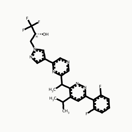 CC(C)c1cc(-c2c(F)cccc2F)nnc1C(C)c1cncc(-c2cnn(C[C@@H](O)C(F)(F)F)c2)n1